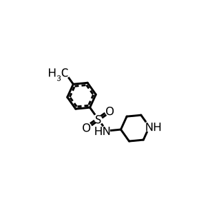 Cc1ccc(S(=O)(=O)NC2CCNCC2)cc1